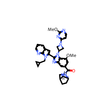 COc1nccc(N2CC(n3c(-c4cc5cccnc5n4CC4CC4)nc4cc(C(=O)N5CC6CCC5[C@@H]6N)cc(OC)c43)C2)n1